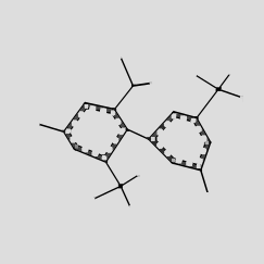 Cc1cc(-c2c(C(C)C)cc(C)cc2C(F)(F)F)cc(C(F)(F)F)c1